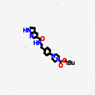 CC(C)(C)OC(=O)N1CCN(c2ccc(CCNC(=O)c3cnc4[nH]ccc4c3)cc2)CC1